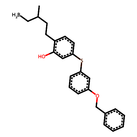 BCC(C)CCc1ccc(Sc2cccc(OCc3ccccc3)c2)cc1O